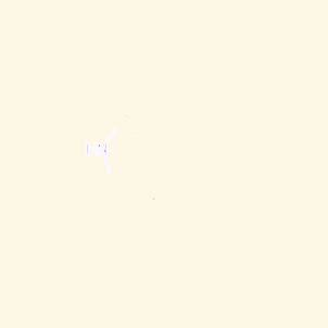 CC(C)C1CC2CCCC1CN2